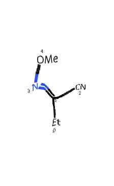 CC/C(C#N)=N/OC